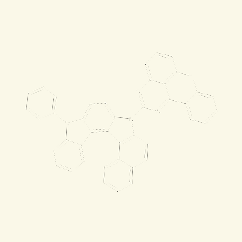 c1ccc(-n2c3ccccc3c3c4c5c6ccccc6ccc5n(-c5nc6c7c(cccc7n5)Sc5ccccc5-6)c4ccc32)cc1